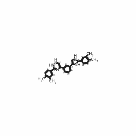 Cc1ccc(C2=NC(c3cccc(C4=CNC(c5ccc(C)c(C)c5)N4)c3)=CNN2)cc1C